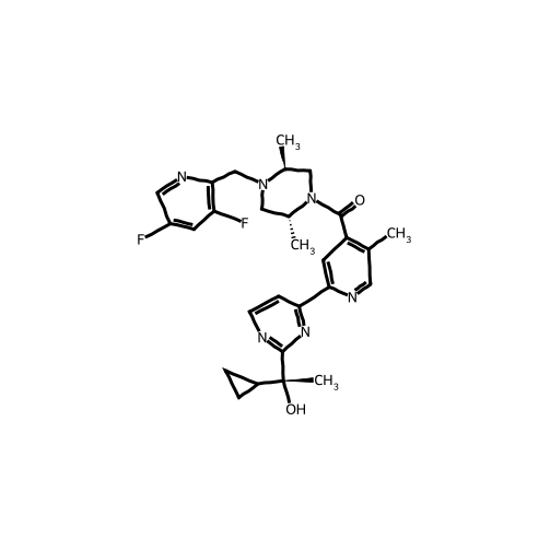 Cc1cnc(-c2ccnc([C@](C)(O)C3CC3)n2)cc1C(=O)N1C[C@H](C)N(Cc2ncc(F)cc2F)C[C@H]1C